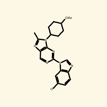 COC1CCC(n2c(C)nc3cnc(-n4cnc5ccc(Cl)cc54)nc32)CC1